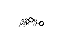 NS(=O)(=O)c1nc2cc(OC(=O)c3ccccc3)ccc2s1